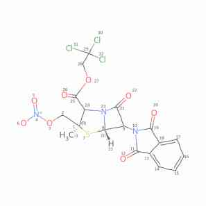 C[C@@]1(CO[N+](=O)[O-])S[C@H]2C(N3C(=O)c4ccccc4C3=O)C(=O)N2C1C(=O)OCC(Cl)(Cl)Cl